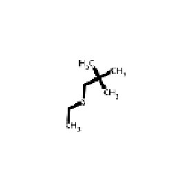 CCSCC(C)(C)C